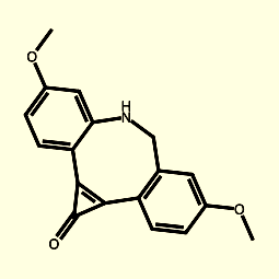 COc1ccc2c(c1)CNc1cc(OC)ccc1-c1c-2c1=O